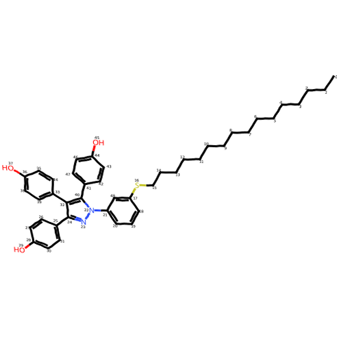 CCCCCCCCCCCCCCCCSc1cccc(-n2nc(-c3ccc(O)cc3)c(-c3ccc(O)cc3)c2-c2ccc(O)cc2)c1